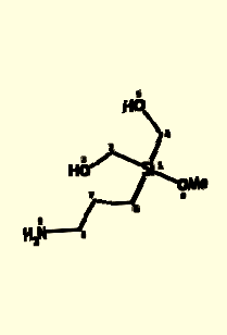 CO[Si](CO)(CO)CCCN